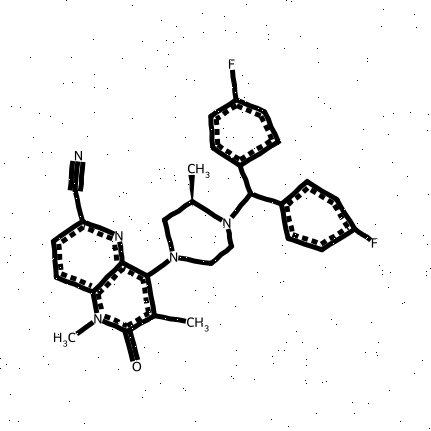 Cc1c(N2CCN(C(c3ccc(F)cc3)c3ccc(F)cc3)[C@H](C)C2)c2nc(C#N)ccc2n(C)c1=O